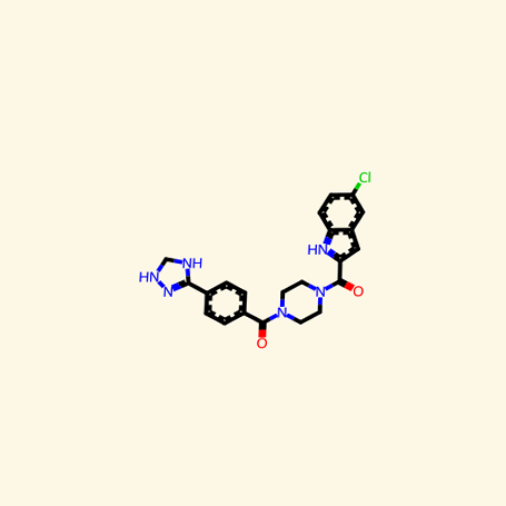 O=C(c1ccc(C2=NNCN2)cc1)N1CCN(C(=O)c2cc3cc(Cl)ccc3[nH]2)CC1